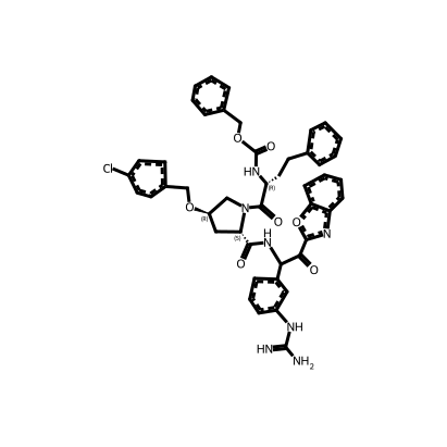 N=C(N)Nc1cccc(C(NC(=O)[C@@H]2C[C@@H](OCc3ccc(Cl)cc3)CN2C(=O)[C@@H](CCc2ccccc2)NC(=O)OCc2ccccc2)C(=O)c2nc3ccccc3o2)c1